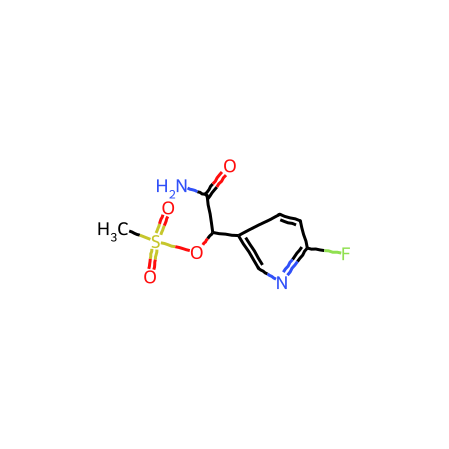 CS(=O)(=O)OC(C(N)=O)c1ccc(F)nc1